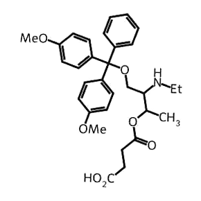 CCNC(COC(c1ccccc1)(c1ccc(OC)cc1)c1ccc(OC)cc1)C(C)OC(=O)CCC(=O)O